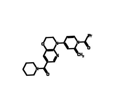 C=C1C=C(N2CCOc3cc(C(=O)N4CCCCC4)cnc32)C=CN1C(=O)C(C)C